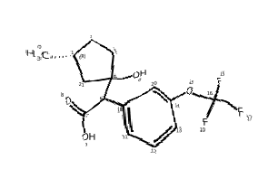 C[C@@H]1CCC(O)(C(C(=O)O)c2cccc(OC(F)(F)F)c2)C1